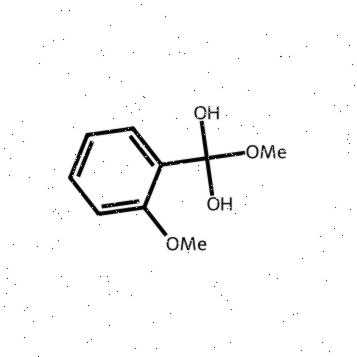 COc1ccccc1C(O)(O)OC